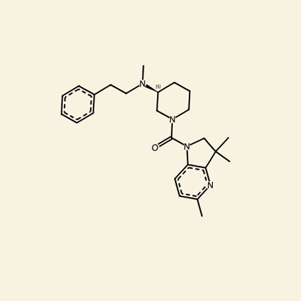 Cc1ccc2c(n1)C(C)(C)CN2C(=O)N1CCC[C@H](N(C)CCc2ccccc2)C1